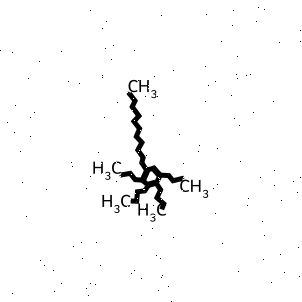 CCCCCCCCCCCCc1cc(CCCC)c(CCCC)c(CCCC)c1CCCC